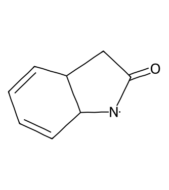 O=C1CC2C=CC=CC2[N]1